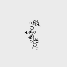 CN(C)C(=O)c1ccc(N(C)C(=O)c2cc(NC(=O)c3cc(F)c(Cl)cc3Cl)[nH]n2)cc1